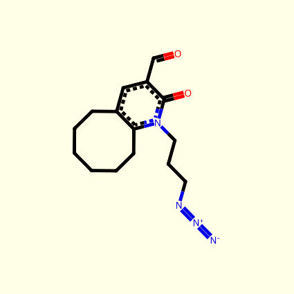 [N-]=[N+]=NCCCn1c2c(cc(C=O)c1=O)CCCCCC2